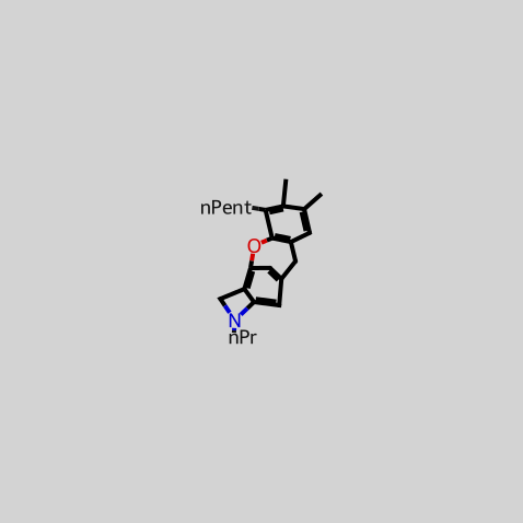 CCCCCc1c(C)c(C)cc2c1Oc1cc(cc3c1CN3CCC)C2